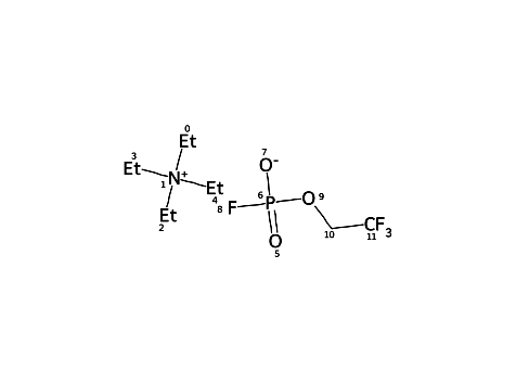 CC[N+](CC)(CC)CC.O=P([O-])(F)OCC(F)(F)F